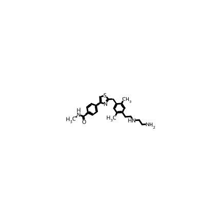 CNC(=O)c1ccc(-c2csc(Cc3cc(C)c(CCNCCN)cc3C)n2)cc1